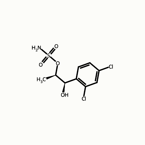 C[C@@H](OS(N)(=O)=O)[C@H](O)c1ccc(Cl)cc1Cl